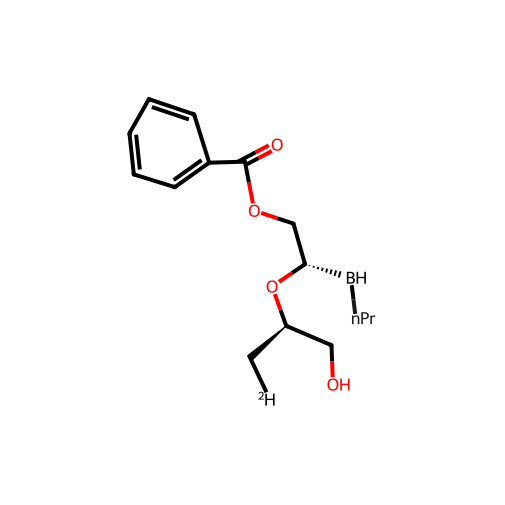 [2H]C[C@H](CO)O[C@@H](BCCC)COC(=O)c1ccccc1